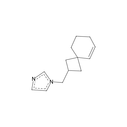 C1=CC2(CCC1)CC(Cn1ccnc1)C2